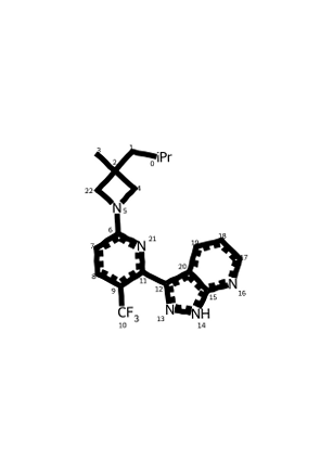 CC(C)CC1(C)CN(c2ccc(C(F)(F)F)c(-c3n[nH]c4ncccc34)n2)C1